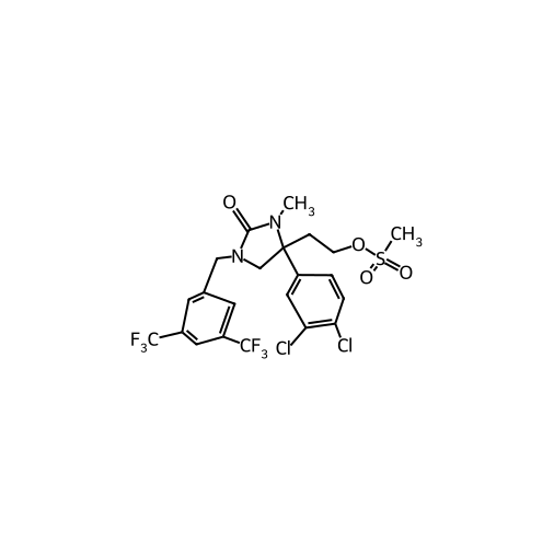 CN1C(=O)N(Cc2cc(C(F)(F)F)cc(C(F)(F)F)c2)CC1(CCOS(C)(=O)=O)c1ccc(Cl)c(Cl)c1